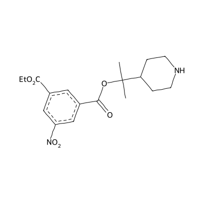 CCOC(=O)c1cc(C(=O)OC(C)(C)C2CCNCC2)cc([N+](=O)[O-])c1